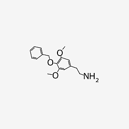 COc1cc(CCN)cc(OC)c1OCc1ccccc1